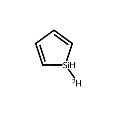 [2H][SiH]1C=CC=C1